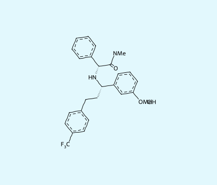 CNC(=O)[C@H](N[C@@H](CCc1ccc(C(F)(F)F)cc1)c1cccc(OC)c1)c1ccccc1.Cl